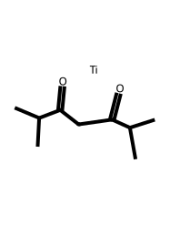 CC(C)C(=O)CC(=O)C(C)C.[Ti]